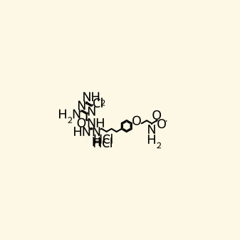 COC(=O)C(N)CCOc1ccc(CCCCNC(=N)NC(=O)c2nc(Cl)c(N)nc2N)cc1.Cl.Cl